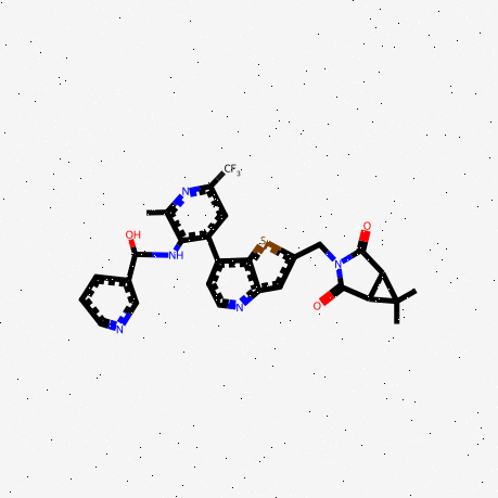 Cc1nc(C(F)(F)F)cc(-c2ccnc3cc(CN4C(=O)C5C(C4=O)C5(C)C)sc23)c1NC(O)c1cccnc1